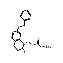 CCCCCCCCCCCC(=O)OCN1c2cc(OCc3ccccc3)ccc2CCC1O